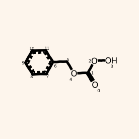 O=C(OO)OCc1ccccc1